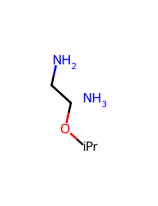 CC(C)OCCN.N